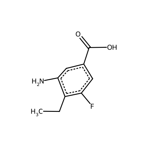 CCc1c(N)cc(C(=O)O)cc1F